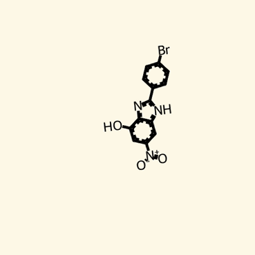 O=[N+]([O-])c1cc(O)c2nc(-c3ccc(Br)cc3)[nH]c2c1